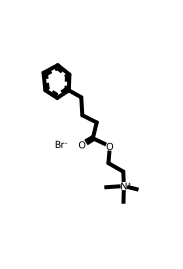 C[N+](C)(C)CCOC(=O)CCCc1ccccc1.[Br-]